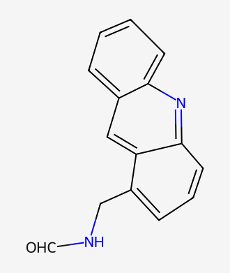 O=CNCc1cccc2nc3ccccc3cc12